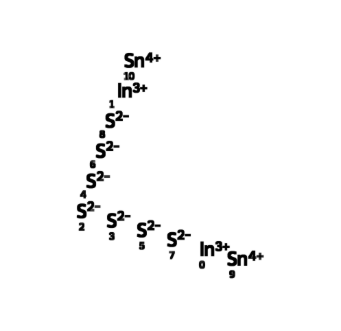 [In+3].[In+3].[S-2].[S-2].[S-2].[S-2].[S-2].[S-2].[S-2].[Sn+4].[Sn+4]